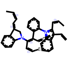 C=C=C/C(=C(\C=C/CC)N1C/C(=C\C=C/C)c2ccccc21)c1ccccc1-n1c(/C=C\C)c(C=C)c2ccccc21